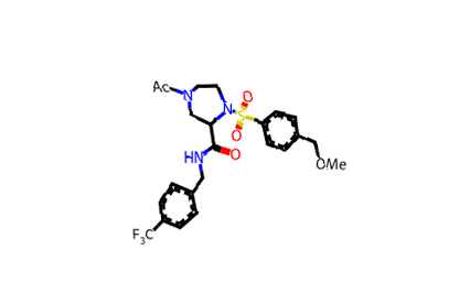 COCc1ccc(S(=O)(=O)N2CCN(C(C)=O)CC2C(=O)NCc2ccc(C(F)(F)F)cc2)cc1